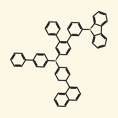 C1=CC(c2cccc3ccccc23)CC=C1N(c1ccc(-c2ccccc2)cc1)c1ccc(-c2cccc(-n3c4ccccc4c4ccccc43)c2)c(-c2ccccc2)c1